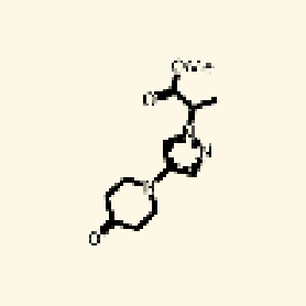 COC(=O)C(C)n1cc(N2CCC(=O)CC2)cn1